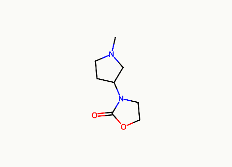 CN1CCC(N2CCOC2=O)C1